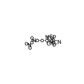 N#Cc1ccccc1-c1cc(-c2c(C#N)cc(-c3ccc(-c4ccc(-n5c6ccccc6c6cc(N(c7ccccc7)c7ccccc7)ccc65)cc4)cc3)cc2C#N)nc(-c2ccccc2C#N)n1